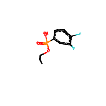 CCOP(=O)(O)c1ccc(F)c(F)c1